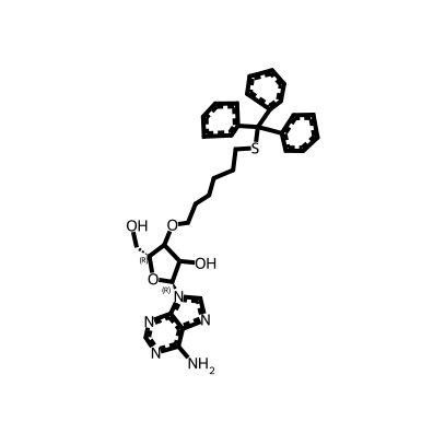 Nc1ncnc2c1ncn2[C@@H]1O[C@H](CO)C(OCCCCCCSC(c2ccccc2)(c2ccccc2)c2ccccc2)C1O